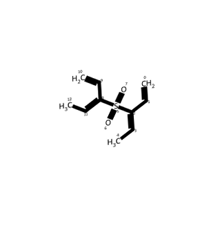 C=CC(=CC)S(=O)(=O)C(C=C)=CC